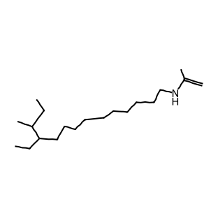 C=C(C)NCCCCCCCCCCC(CC)C(C)CC